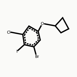 Clc1cc(OC2CCC2)cc(Br)c1I